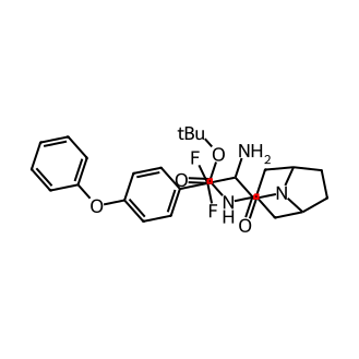 CC(C)(C)OC(=O)NC1CC2CCC(C1)N2C(=O)C(N)C(F)(F)c1ccc(Oc2ccccc2)cc1